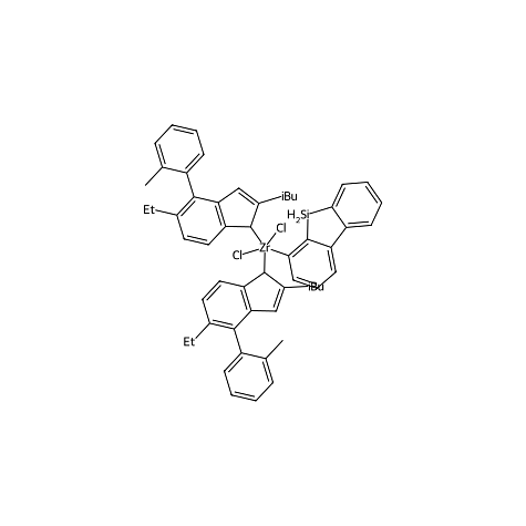 CCc1ccc2c(c1-c1ccccc1C)C=C(C(C)CC)[CH]2[Zr]([Cl])([Cl])([c]1cccc2c1[SiH2]c1ccccc1-2)[CH]1C(C(C)CC)=Cc2c1ccc(CC)c2-c1ccccc1C